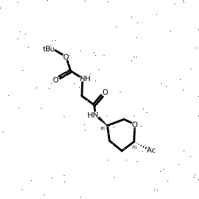 CC(=O)[C@@H]1CC[C@@H](NC(=O)CNC(=O)OC(C)(C)C)CO1